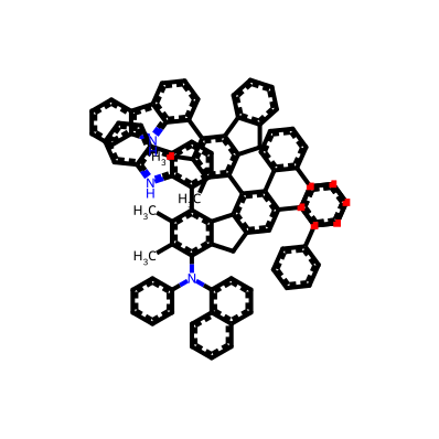 Cc1c(C)c(-c2cccc3c2[nH]c2ccccc23)c2c(c1-c1c3c(cc(-c4ccccc4-c4ccccc4)c1-c1ccccc1-c1ccccc1)Cc1c-3c(-c3cccc4c3[nH]c3ccccc34)c(C)c(C)c1N(c1ccccc1)c1cccc3ccccc13)Cc1ccccc1-2